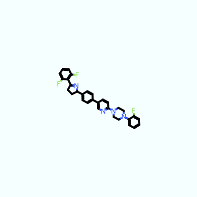 Fc1ccccc1N1CCN(c2ccc(-c3ccc(C4CCC(c5c(F)cccc5F)=N4)cc3)cn2)CC1